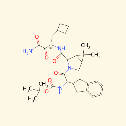 CC(C)(C)OC(=O)NC(C(=O)N1CC2C(C1C(=O)N[C@@H](CC1CCC1)C(=O)C(N)=O)C2(C)C)C1Cc2ccccc2C1